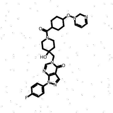 O=C(C1CCC(ON2C=CC=NC2)CC1)N1CCC(O)(Cn2cnc3c(cnn3-c3ccc(F)cc3)c2=O)CC1